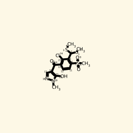 CSC(SC)c1c(S(C)(=O)=O)ccc(C(=O)c2cnn(C)c2O)c1Cl